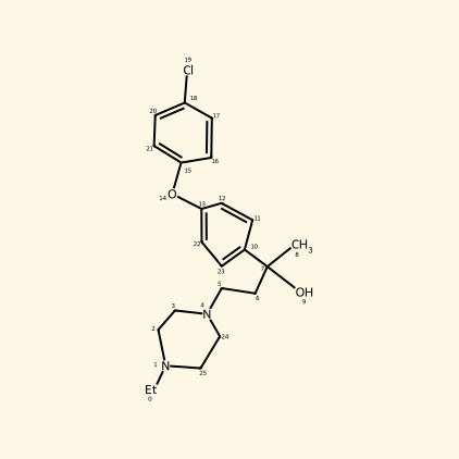 CCN1CCN(CCC(C)(O)c2ccc(Oc3ccc(Cl)cc3)cc2)CC1